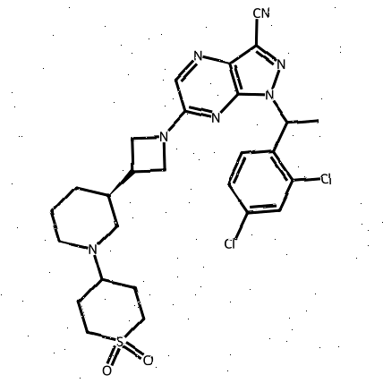 CC(c1ccc(Cl)cc1Cl)n1nc(C#N)c2ncc(N3CC([C@@H]4CCCN(C5CCS(=O)(=O)CC5)C4)C3)nc21